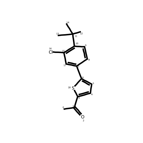 CC(=O)c1ccc(-c2ccc(C(C)(C)C)c(Cl)c2)s1